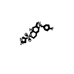 Cn1cc(S(=O)(=O)N2CCC3=Cc4c(cnn4-c4ccc(F)cc4)C[C@H]3C2)cn1